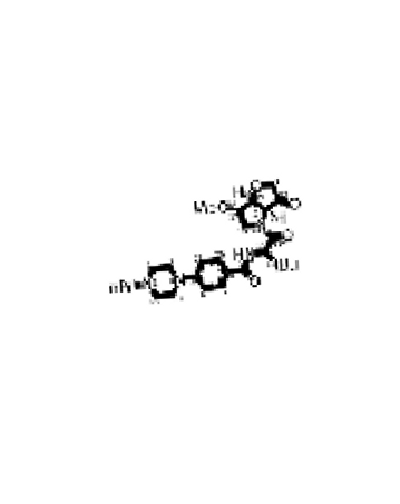 CCCN1CCN(c2ccc(C(=O)NC(C(=O)N3C[C@@H](OC)[C@H]4OCC(=O)[C@H]43)C(C)(C)C)cc2)CC1